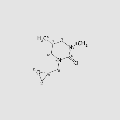 CC1CN(C)C(=O)N(CC2CO2)C1